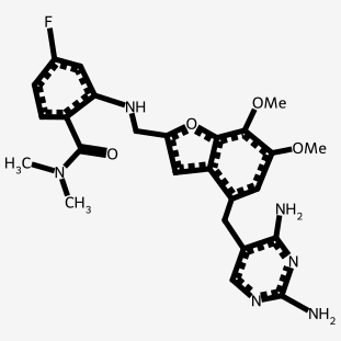 COc1cc(Cc2cnc(N)nc2N)c2cc(CNc3cc(F)ccc3C(=O)N(C)C)oc2c1OC